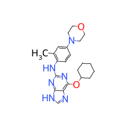 Cc1cc(N2CCOCC2)ccc1Nc1nc(OC2CCCCC2)c2nc[nH]c2n1